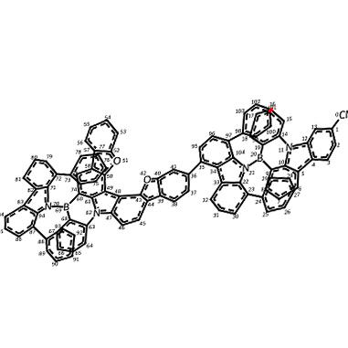 N#Cc1ccc2c3cccc4c3n(c2c1)-c1ccccc1B4n1c2c(-c3ccccc3)cccc2c2c(-c3ccc4c(c3)oc3c4ccc4c3c3c5oc6ccccc6c5cc5c3n4-c3ccccc3B5n3c4c(-c5ccccc5)cccc4c4cccc(-c5ccccc5)c43)ccc(-c3ccccc3)c21